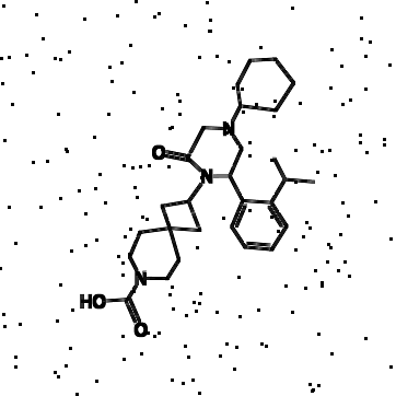 CC(C)c1ccccc1C1CN(C2CCCCC2)CC(=O)N1C1CC2(CCN(C(=O)O)CC2)C1